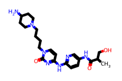 CC(CO)C(=O)Nc1ccc(Nc2ccn(CCCCN3CCC(N)CC3)c(=O)n2)nc1